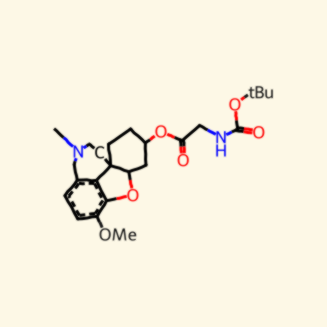 COc1ccc2c3c1OC1CC(OC(=O)CNC(=O)OC(C)(C)C)CCC31CCN(C)C2